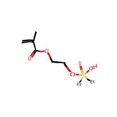 C=C(C)C(=O)OCCOS(=O)(O)(CC)CC